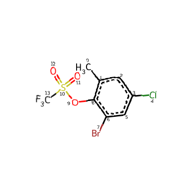 Cc1cc(Cl)cc(Br)c1OS(=O)(=O)C(F)(F)F